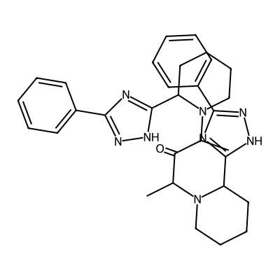 CC(C(=O)C(C)N1CCCCC1c1nc(-c2ccccc2)n[nH]1)N1CCCCC1c1nc(-c2ccccc2)n[nH]1